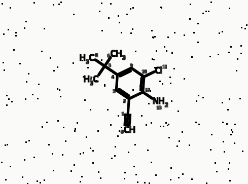 C#Cc1cc(C(C)(C)C)cc(Cl)c1N